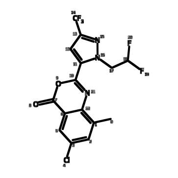 Cc1cc(Cl)cc2c(=O)oc(-c3cc(C(F)(F)F)nn3CC(F)F)nc12